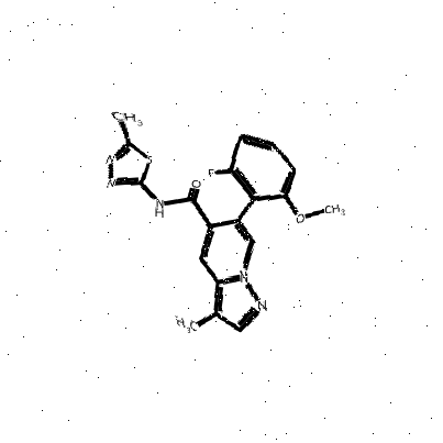 COc1cccc(F)c1-c1cn2ncc(C)c2cc1C(=O)Nc1nnc(C)s1